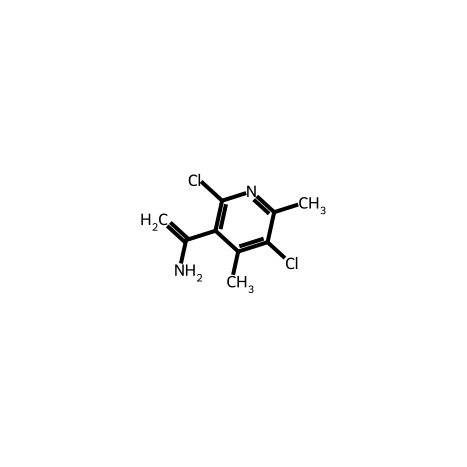 C=C(N)c1c(Cl)nc(C)c(Cl)c1C